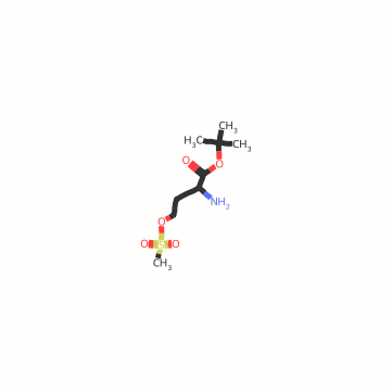 CC(C)(C)OC(=O)C(N)CCOS(C)(=O)=O